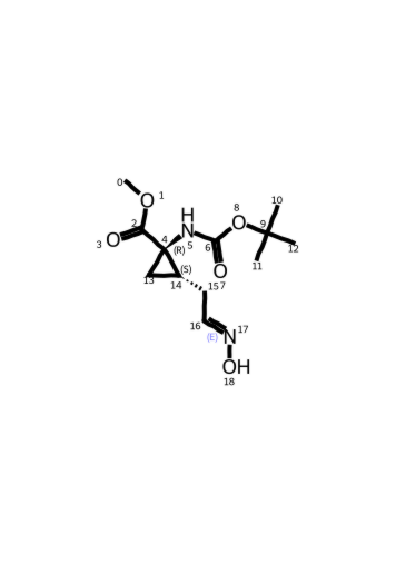 COC(=O)[C@@]1(NC(=O)OC(C)(C)C)C[C@H]1C/C=N/O